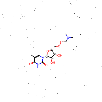 Cc1cn([C@@H]2O[C@H](COOCN(C)C)[C@@H](O)[C@H]2O)c(=O)[nH]c1=O